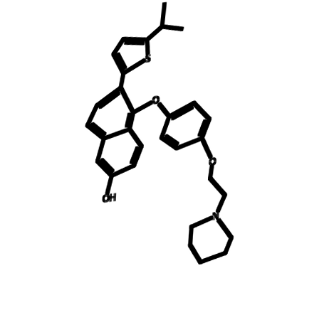 CC(C)c1ccc(-c2ccc3cc(O)ccc3c2Oc2ccc(OCCN3CCCCC3)cc2)s1